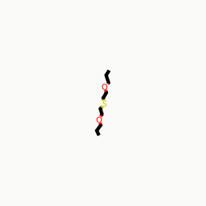 CCCOCCSCCOCCC